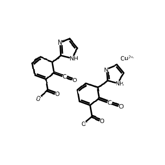 O=C=C1C(C(=O)[O-])=CC=CC1c1ncc[nH]1.O=C=C1C(C(=O)[O-])=CC=CC1c1ncc[nH]1.[Cu+2]